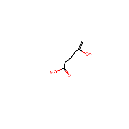 C=C(O)CCCC(=O)O